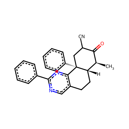 C[C@@H]1C(=O)C(C#N)C[C@]2(c3ccccc3)c3nc(-c4ccccc4)ncc3CC[C@@H]12